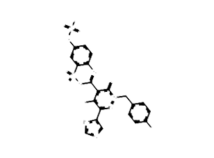 CS(=O)(=O)Nc1ccc2c(c1)S(=O)(=O)NC(c1c(O)c(-c3cnc[nH]3)nn(Cc3ccc(F)cc3)c1=O)=N2